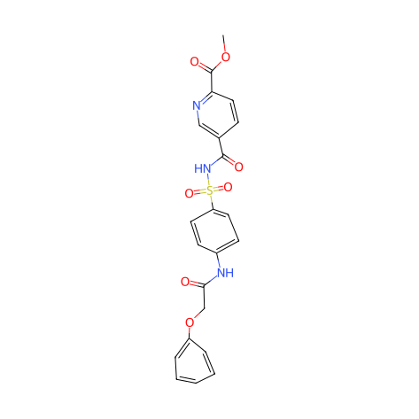 COC(=O)c1ccc(C(=O)NS(=O)(=O)c2ccc(NC(=O)COc3ccccc3)cc2)cn1